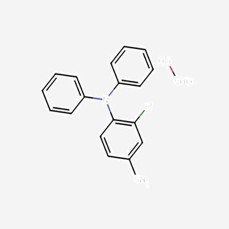 Cc1ccc(N(c2ccccc2)c2ccccc2)c(Cl)c1.O=CO